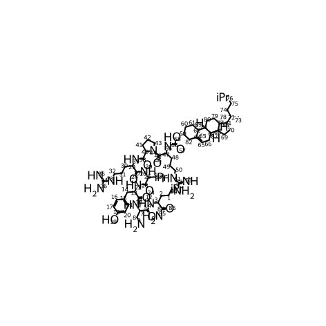 CC(C)CCC(NC(=O)C(CN)NC(=O)C(Cc1ccc(O)cc1)NC(=O)C(NC(=O)C(CCCNC(=N)N)NC(=O)C1CCCN1C(=O)C(CCCNC(=N)N)NC(=O)O[C@@H]1CC[C@]2(C)C(=CC[C@@H]3[C@H]4CC[C@@H]([C@@H](C)CCC(C)C)[C@]4(C)CC[C@H]32)C1)C(C)C)C(N)=O